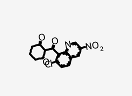 O=C1CCCC(=O)C1C(=O)c1c(Cl)ccc2cc([N+](=O)[O-])cnc12